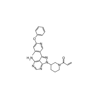 C=CC(=O)N1CCCC(n2nc(-c3cnc(Oc4ccccc4)cc3C)c3c(N)ncnc32)C1